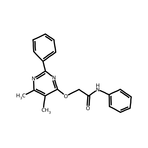 Cc1nc(-c2ccccc2)nc(OCC(=O)Nc2ccccc2)c1C